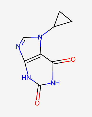 O=c1[nH]c(=O)c2c(ncn2C2CC2)[nH]1